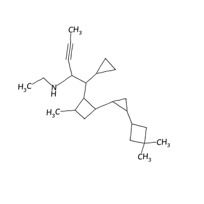 CC#CC(NCC)C(C1CC1)C1C(C)CC1C1CC1C1CC(C)(C)C1